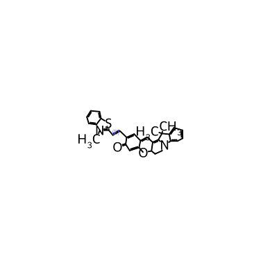 C[n+]1c(/C=C/C2=CC3=CC4=C5N(CCC4OC3=CC2=O)c2ccccc2C5(C)C)sc2ccccc21